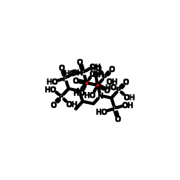 CC(CN(C(P(=O)(O)O)P(=O)(O)O)C(P(=O)(O)O)P(=O)(O)O)N(C(P(=O)(O)O)P(=O)(O)O)C(P(=O)(O)O)P(=O)(O)O